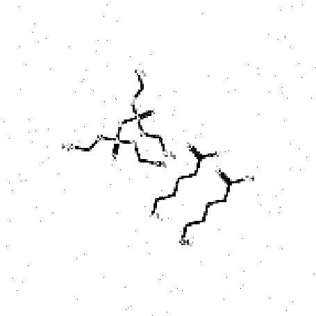 CCCCCC(=O)O.CCCCCC(=O)O.CCOP(=S)(OCC)OP(=S)(OCC)OCC